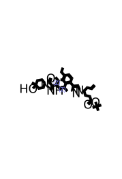 C=CCC(CCC(=O)OC(C)(C)C)n1cc(-c2ccc(CC)c(C)c2/C(C)=C\C(=C\C)C(=N)C(=O)N2CCC(C)(O)CC2)cn1